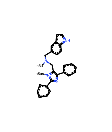 CCCCN(Cc1ccc2[nH]ccc2c1)Cc1c(-c2ccccc2)nc(-c2ccccc2)n1CCCC